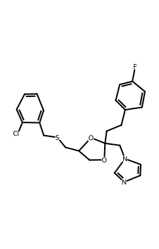 Fc1ccc(CCC2(Cn3ccnc3)OCC(CSCc3ccccc3Cl)O2)cc1